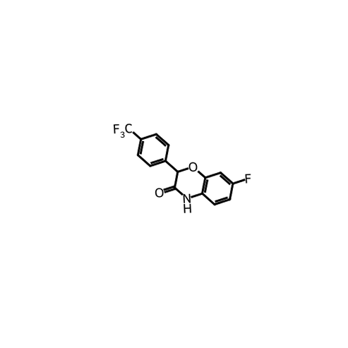 O=C1Nc2ccc(F)cc2OC1c1ccc(C(F)(F)F)cc1